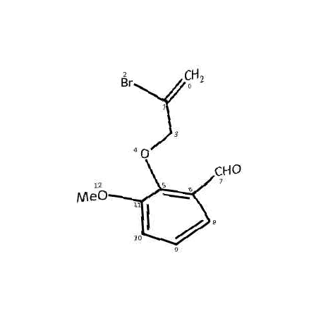 C=C(Br)COc1c(C=O)cccc1OC